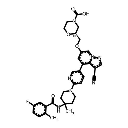 Cc1ccc(F)cc1C(=O)NC1(C)CCN(c2ccc(-c3cc(OC[C@@H]4CN(C(=O)O)CCO4)cn4ncc(C#N)c34)cn2)CC1